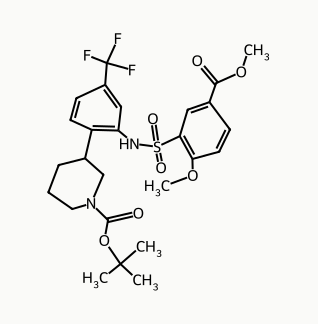 COC(=O)c1ccc(OC)c(S(=O)(=O)Nc2cc(C(F)(F)F)ccc2C2CCCN(C(=O)OC(C)(C)C)C2)c1